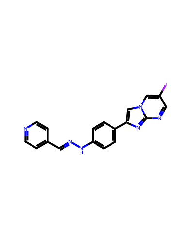 Ic1cnc2nc(-c3ccc(NN=Cc4ccncc4)cc3)cn2c1